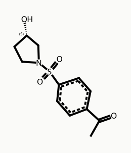 CC(=O)c1ccc(S(=O)(=O)N2CC[C@H](O)C2)cc1